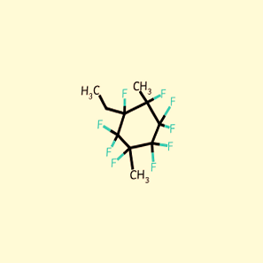 CCC1(F)C(C)(F)C(F)(F)C(F)(F)C(C)(F)C1(F)F